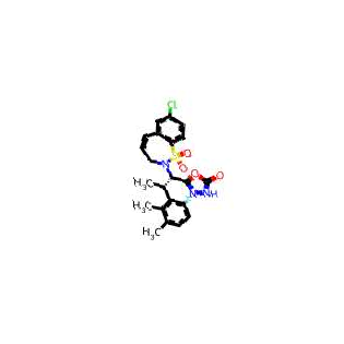 Cc1ccc(F)c(C(C)[C@@H](c2n[nH]c(=O)o2)N2CC=Cc3cc(Cl)ccc3S2(=O)=O)c1C